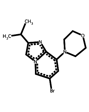 CC(C)c1cn2cc(Br)cc(N3CCOCC3)c2n1